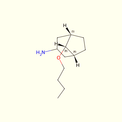 CCCCO[C@H]1[C@@H]2CC[C@H]1CC(N)C2